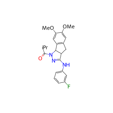 COc1cc2c(cc1OC)C1C(C2)C(Nc2cccc(F)c2)=NN1C(=O)C(C)C